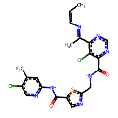 C/C=C\N=C(/C)c1ncnc(C(=O)NCc2ncc(C(=O)Nc3cc(C(F)(F)F)c(Cl)cn3)s2)c1Cl